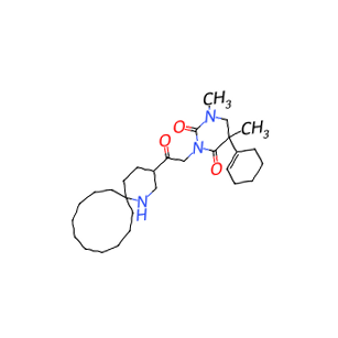 CN1CC(C)(C2=CCCCC2)C(=O)N(CC(=O)C2CCC3(CCCCCCCCCC3)NC2)C1=O